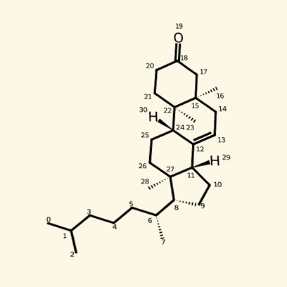 CC(C)CCC[C@@H](C)[C@H]1CC[C@H]2C3=CC[C@]4(C)CC(=O)CC[C@]4(C)[C@H]3CC[C@]12C